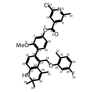 COc1cc(OC(=O)c2cc(C)nc(Cl)c2)ccc1-c1ccc2c(c1COc1cc(F)ccc1C)C(C)=CC(C)(C)N2